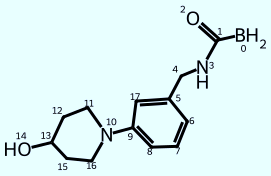 BC(=O)NCc1cccc(N2CCC(O)CC2)c1